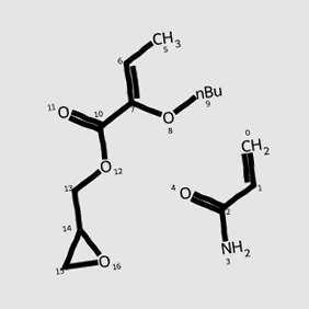 C=CC(N)=O.CC=C(OCCCC)C(=O)OCC1CO1